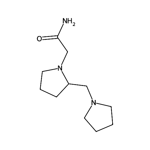 NC(=O)CN1CCCC1CN1CCCC1